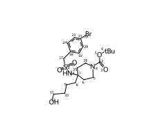 CC(C)(C)OC(=O)N1CCC(CCCCO)(NS(=O)(=O)Cc2ccc(Br)cc2)CC1